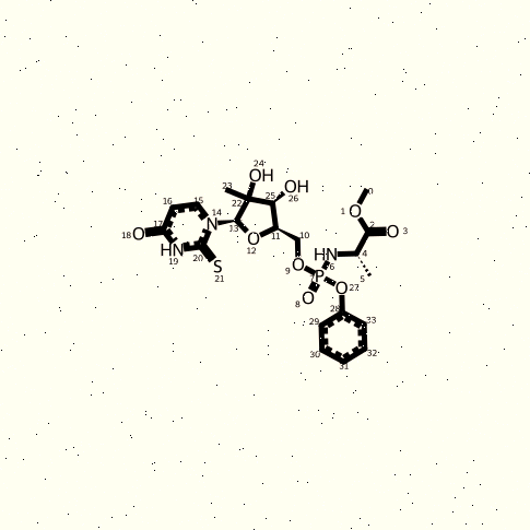 COC(=O)[C@H](C)NP(=O)(OC[C@H]1O[C@@H](n2ccc(=O)[nH]c2=S)C(C)(O)[C@H]1O)Oc1ccccc1